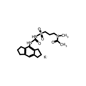 CC(=O)N(C)CCCS(=O)(=O)NC(=O)Nc1c2c(cc3c1CCC3)CCC2.[K]